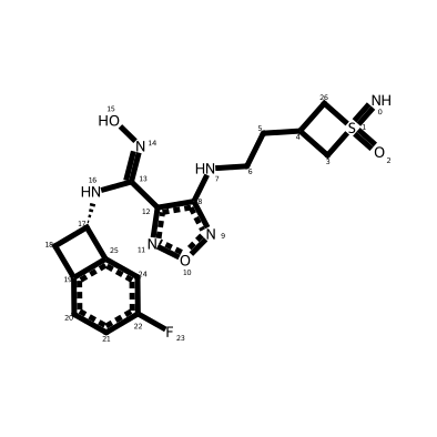 N=S1(=O)CC(CCNc2nonc2/C(=N/O)N[C@H]2Cc3ccc(F)cc32)C1